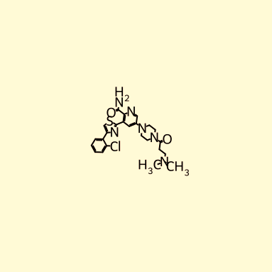 CN(C)CCC(=O)N1CCN(c2cnc(C(N)=O)c(-c3nc(-c4ccccc4Cl)cs3)c2)CC1